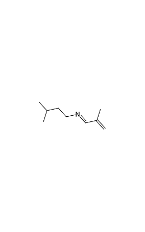 C=C(C)C=NCCC(C)C